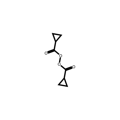 O=C(OOC(=O)C1CC1)C1CC1